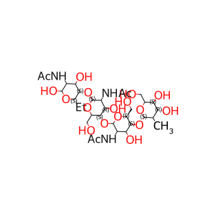 CC[C@@H]1OC(O)C(NC(C)=O)C(O)[C@@H]1O[C@@H]1OC(CO)[C@@H](OC2O[C@@H](CO)[C@@H](O[C@@H]3OC(CO)[C@@H](O)[C@H](O)C3C)C(O)C2NC(C)=O)[C@H](O)C1NC(C)=O